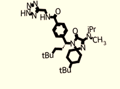 CC(C)N(C)C1=NC2(CCC(C(C)(C)C)CC2)N([C@H](CCC(C)(C)C)c2ccc(C(=O)NCc3nn[nH]n3)cc2)C1=O